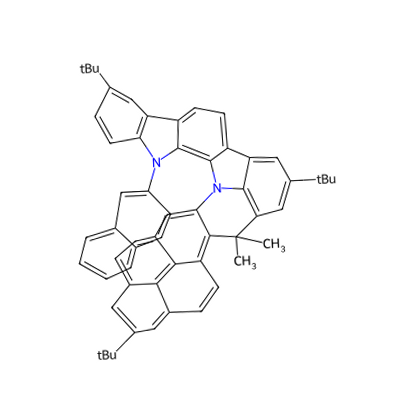 CC(C)(C)c1cc2ccc3cc4c(c5ccc(c1)c2c35)C(C)(C)c1cc(C(C)(C)C)cc2c3ccc5c6cc(C(C)(C)C)ccc6n(-c6ccc7ccccc7c6)c5c3n-4c12